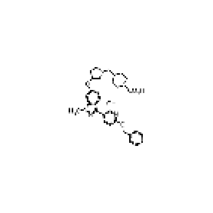 Cn1nc(-c2ccc(OCc3ccccc3)nc2O)c2ccc(OC3CCN(CC4CCN(C(=O)O)CC4)C3)cc21